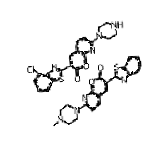 CN1CCN(c2ccc3cc(-c4nc5ccccc5s4)c(=O)oc3n2)CC1.O=c1oc2nc(N3CCNCC3)ccc2cc1-c1nc2c(Cl)cccc2s1